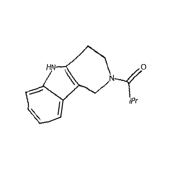 CC(C)C(=O)N1CCc2[nH]c3ccccc3c2C1